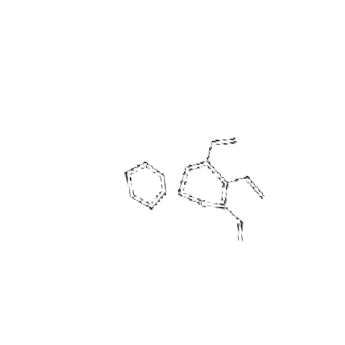 C=Cc1cccc(C=C)c1C=C.c1ccccc1